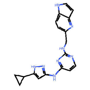 c1cc(Nc2cc(C3CC3)[nH]n2)nc(NCc2ccc3[nH]ccc3n2)n1